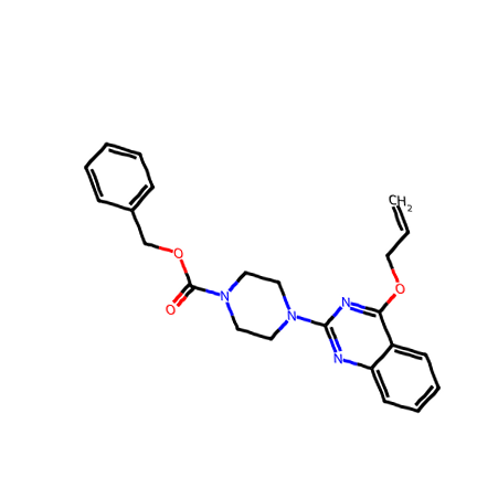 C=CCOc1nc(N2CCN(C(=O)OCc3ccccc3)CC2)nc2ccccc12